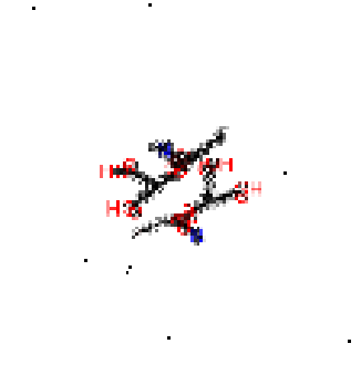 CCCCCCCCCCCCC(CCOC(=O)CCCCC(CCCCCCCCC(=O)O)CCCCCCCCC(=O)O)OC(=O)OCCCN(CC)CC.CCCCCCCCCCCCC(CCOC(=O)CCCCCC(CCCCCCCCC(=O)O)CCCCCCCCC(=O)O)OC(=O)OCCCN(CC)CC